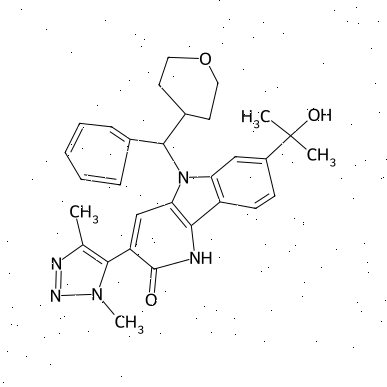 Cc1nnn(C)c1-c1cc2c([nH]c1=O)c1ccc(C(C)(C)O)cc1n2C(c1ccccc1)C1CCOCC1